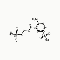 Nc1ccc(S(=O)(=O)O)cc1OCCCS(=O)(=O)O